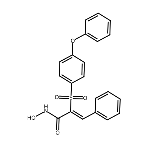 O=C(NO)C(=Cc1ccccc1)S(=O)(=O)c1ccc(Oc2ccccc2)cc1